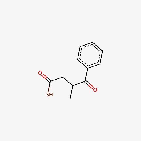 CC(CC(=O)S)C(=O)c1ccccc1